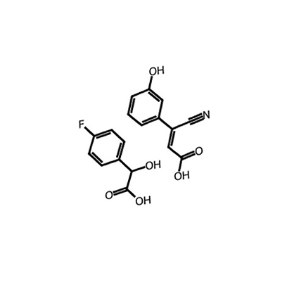 N#CC(=CC(=O)O)c1cccc(O)c1.O=C(O)C(O)c1ccc(F)cc1